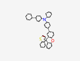 c1ccc(-c2ccc(N(c3ccccc3)c3ccc(-c4ccc5c(c4)[Si]4(c6ccccc6O5)c5ccccc5Sc5ccccc54)cc3)cc2)cc1